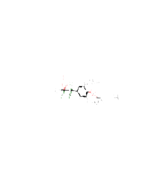 COc1cc(C(F)(F)C(O)(F)C(F)(F)F)cc(OC)c1OCC(=O)O